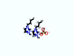 CCCCn1cc[n+](C)c1.CCCCn1cc[n+](C)c1.O=S([O-])[O-]